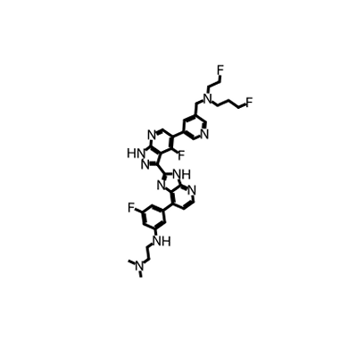 CN(C)CCNc1cc(F)cc(-c2ccnc3[nH]c(-c4n[nH]c5ncc(-c6cncc(CN(CCF)CCCF)c6)c(F)c45)nc23)c1